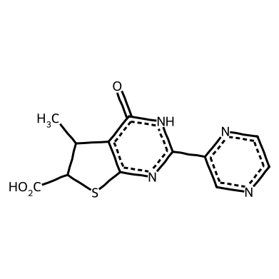 CC1c2c(nc(-c3cnccn3)[nH]c2=O)SC1C(=O)O